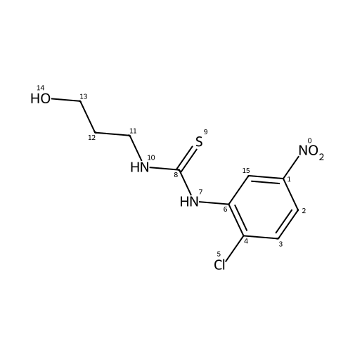 O=[N+]([O-])c1ccc(Cl)c(NC(=S)NCCCO)c1